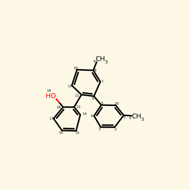 Cc1cccc(-c2cc(C)ccc2-c2ccccc2O)c1